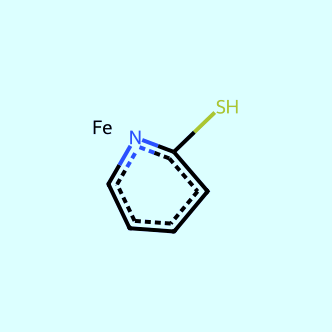 Sc1ccccn1.[Fe]